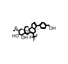 CN(C)[C@H]1C[C@@]23CC[C@@]4(O2)C(=C(C(F)(F)F)C[C@]2(C)C(c5ccc(CO)cc5)=CCC24)C=C3[C@@H](O)[C@@H]1O